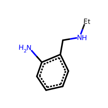 CCNCc1ccccc1N